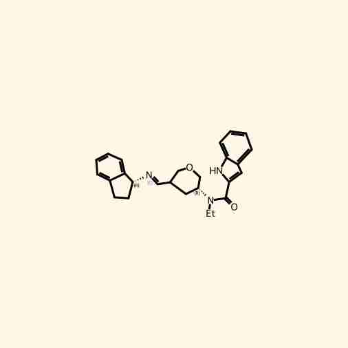 CCN(C(=O)c1cc2ccccc2[nH]1)[C@H]1COCC(/C=N/[C@@H]2CCc3ccccc32)C1